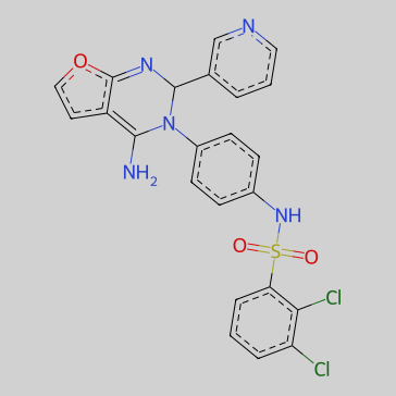 NC1=c2ccoc2=NC(c2cccnc2)N1c1ccc(NS(=O)(=O)c2cccc(Cl)c2Cl)cc1